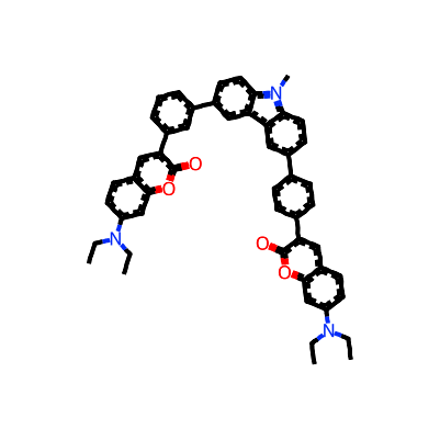 CCN(CC)c1ccc2cc(-c3ccc(-c4ccc5c(c4)c4cc(-c6cccc(-c7cc8ccc(N(CC)CC)cc8oc7=O)c6)ccc4n5C)cc3)c(=O)oc2c1